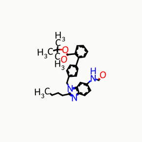 CCCCc1nc2ccc(NC=O)cc2n1Cc1ccc(-c2ccccc2C(=O)OC(C)(C)C)cc1